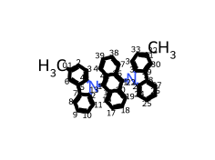 Cc1ccc2c(c1)c1ccccc1n2-c1c2ccccc2c(-n2c3ccccc3c3cc(C)ccc32)c2ccccc12